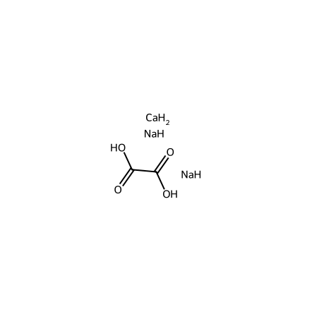 O=C(O)C(=O)O.[CaH2].[NaH].[NaH]